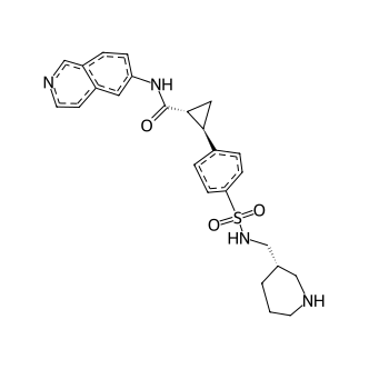 O=C(Nc1ccc2cnccc2c1)[C@@H]1C[C@H]1c1ccc(S(=O)(=O)NC[C@H]2CCCNC2)cc1